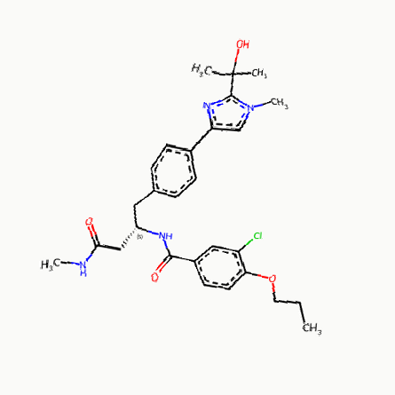 CCCOc1ccc(C(=O)N[C@H](CC(=O)NC)Cc2ccc(-c3cn(C)c(C(C)(C)O)n3)cc2)cc1Cl